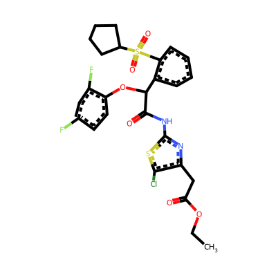 CCOC(=O)Cc1nc(NC(=O)C(Oc2ccc(F)cc2F)c2ccccc2S(=O)(=O)C2CCCC2)sc1Cl